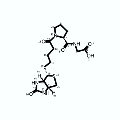 O=C(O)CNC(=O)[C@@H]1CCCN1C(=O)CCCC[C@@H]1SC[C@@H]2NC(=O)N[C@@H]21